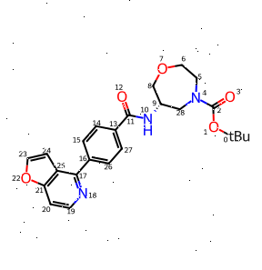 CC(C)(C)OC(=O)N1CCOC[C@@H](NC(=O)c2ccc(-c3nccc4occc34)cc2)C1